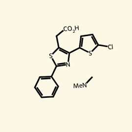 CNC.O=C(O)Cc1sc(-c2ccccc2)nc1-c1ccc(Cl)s1